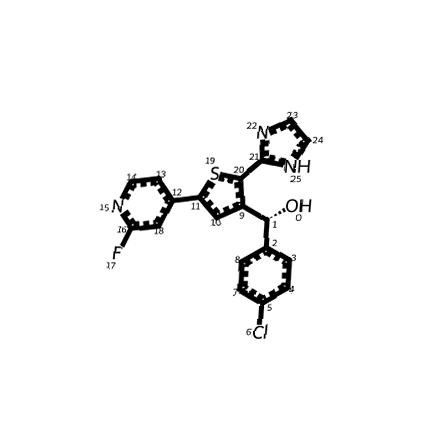 O[C@H](c1ccc(Cl)cc1)c1cc(-c2ccnc(F)c2)sc1-c1ncc[nH]1